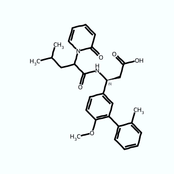 COc1ccc([C@H](CC(=O)O)NC(=O)C(CC(C)C)n2ccccc2=O)cc1-c1ccccc1C